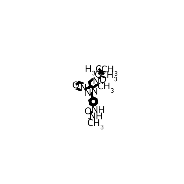 CCNC(=O)Nc1ccc(-c2nc3c(c(N4CCOCC4)n2)CCN(C(=O)OC(C)(C)C)C3C)cc1